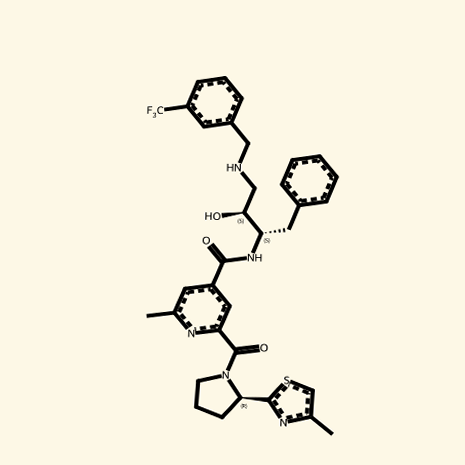 Cc1cc(C(=O)N[C@@H](Cc2ccccc2)[C@@H](O)CNCc2cccc(C(F)(F)F)c2)cc(C(=O)N2CCC[C@@H]2c2nc(C)cs2)n1